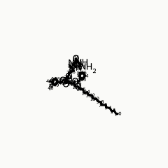 CCCCCCCCCCCCCCCCCCOCC(COP(=O)(COCCn1cnc2c(=O)[nH]c(N)nc21)OCc1ccc(C)c(F)c1)OCc1ccccc1